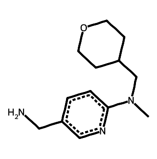 CN(CC1CCOCC1)c1ccc(CN)cn1